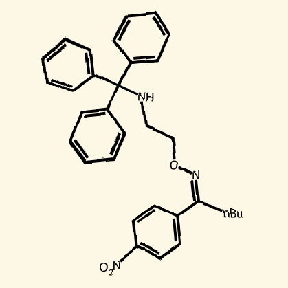 CCCCC(=NOCCNC(c1ccccc1)(c1ccccc1)c1ccccc1)c1ccc([N+](=O)[O-])cc1